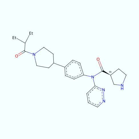 CCC(CC)C(=O)N1CCC(c2ccc(N(C(=O)[C@H]3CCNC3)c3cccnn3)cc2)CC1